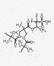 CC(OC(=O)C(C)(COC(=O)C(C)(C)I)COC(=O)C(C)(C)I)C(F)(F)S(=O)(=O)O